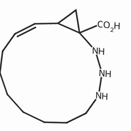 O=C(O)C12CC1C=CCCCCCCCNNN2